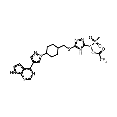 CS(=O)(=O)N(OC(=O)C(F)(F)F)c1nnc(SCC2CCC(n3cc(-c4ncnc5[nH]ccc45)cn3)CC2)[nH]1